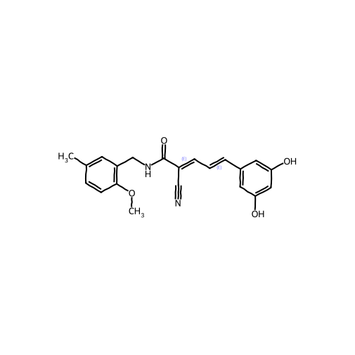 COc1ccc(C)cc1CNC(=O)/C(C#N)=C/C=C/c1cc(O)cc(O)c1